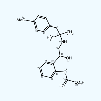 COc1ccc(CC(C)(C)NCC(O)c2ccccc2OC(=O)C(=O)O)cc1